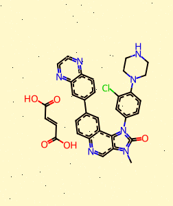 Cn1c(=O)n(-c2ccc(N3CCNCC3)c(Cl)c2)c2c3cc(-c4ccc5nccnc5c4)ccc3ncc21.O=C(O)C=CC(=O)O